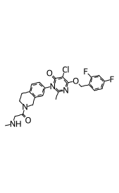 CNCC(=O)N1CCc2ccc(-n3c(C)nc(OCc4ccc(F)cc4F)c(Cl)c3=O)cc2C1